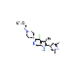 COCCN1CCC(c2ncc3[nH]c(-c4cc(C)nc(C)c4)c(C(C)C)c3c2F)CC1